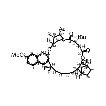 COc1ccc2cc3c(nc2c1)O[C@H]1CN(C(=O)[C@H](C(C)(C)C)NC(=O)O[C@@H]2[C@H]4CC[C@H](C4)[C@H]2CCCCC3(F)F)[C@H](C(C)=O)[C@@H]1C